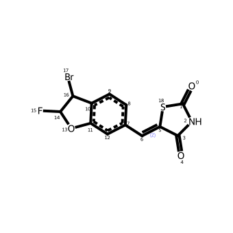 O=C1NC(=O)/C(=C/c2ccc3c(c2)OC(F)C3Br)S1